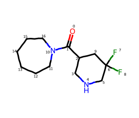 O=C(C1CNCC(F)(F)C1)N1CCCCCC1